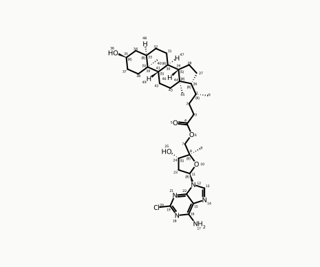 C[C@H](CCC(=O)OC[C@@]1(C)O[C@@H](n2cnc3c(N)nc(Cl)nc32)C[C@@H]1O)[C@H]1CC[C@H]2[C@@H]3CC[C@@H]4C[C@H](O)CC[C@]4(C)[C@H]3CC[C@]12C